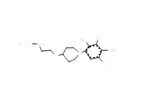 CCc1c(C#N)c(Cl)cc(N2CCC(OCCNC(=O)O)CC2)c1C#N